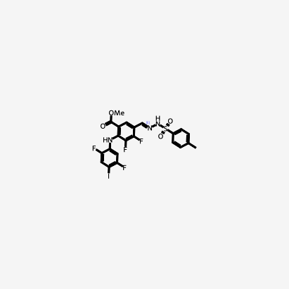 COC(=O)c1cc(/C=N/NS(=O)(=O)c2ccc(C)cc2)c(F)c(F)c1Nc1cc(F)c(I)cc1F